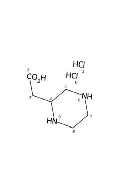 Cl.Cl.O=C(O)CC1CNCCN1